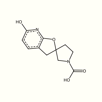 O=C(O)N1CCC2(Cc3ccc(O)nc3O2)C1